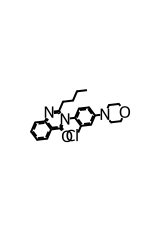 CCCCc1nc2ccccc2c(=O)n1-c1ccc(N2CCOCC2)cc1Cl